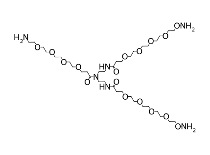 NCCOCCOCCOCCOCCC(=O)N(CCNC(=O)CCOCCOCCOCCOCCON)CCNC(=O)CCOCCOCCOCCOCCON